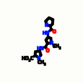 Cn1cc(NC(=O)c2cc(NC(=O)c3ccccn3)cn2C)cc1C(=O)O